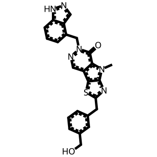 Cn1c2nc(Cc3cccc(CO)c3)sc2c2cnn(Cc3cccc4[nH]ncc34)c(=O)c21